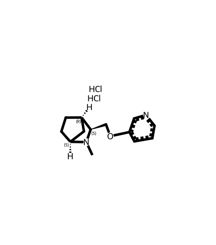 CN1[C@H]2CC[C@H](C2)[C@H]1COc1cccnc1.Cl.Cl